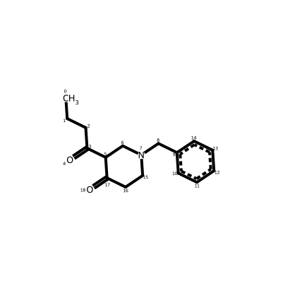 CCCC(=O)C1CN(Cc2ccccc2)CCC1=O